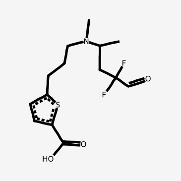 CC(CC(F)(F)C=O)N(C)CCCc1ccc(C(=O)O)s1